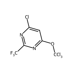 FC(F)(F)c1nc(Cl)cc(OC(Cl)(Cl)Cl)n1